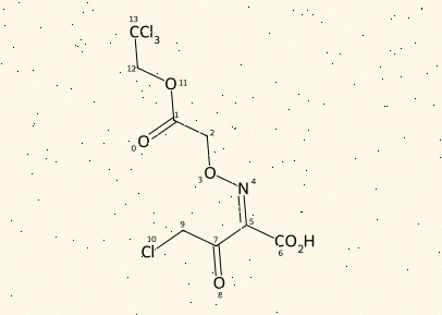 O=C(CO/N=C(/C(=O)O)C(=O)CCl)OCC(Cl)(Cl)Cl